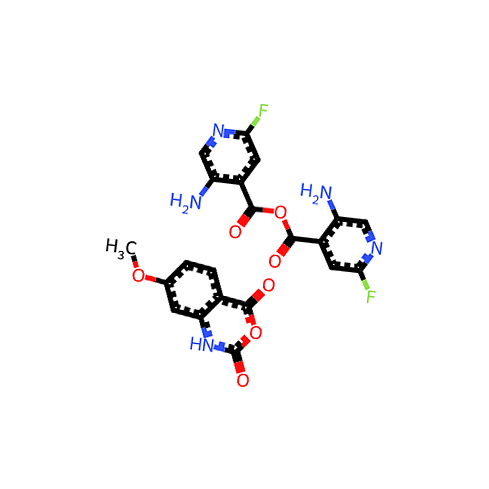 COc1ccc2c(=O)oc(=O)[nH]c2c1.Nc1cnc(F)cc1C(=O)OC(=O)c1cc(F)ncc1N